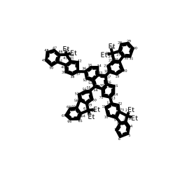 CCC1(CC)c2ccccc2-c2ccc(-c3ccc4c(-c5ccc6c(c5)C(CC)(CC)c5ccccc5-6)c5ccc(-c6ccc7c(c6)C(CC)(CC)c6ccccc6-7)cc5c(-c5ccc6c(c5)C(CC)(CC)c5ccccc5-6)c4c3)cc21